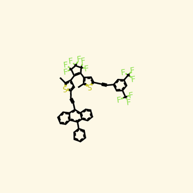 Cc1sc(C#Cc2cc(C(F)(F)F)cc(C(F)(F)F)c2)cc1C1=C(c2cc(C#Cc3c4ccccc4c(-c4ccccc4)c4ccccc34)sc2C)C(F)(F)C(F)(F)C1(F)F